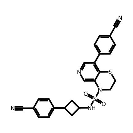 N#Cc1ccc(-c2cncc3c2SCCN3S(=O)(=O)NC2CC(c3ccc(C#N)cc3)C2)cc1